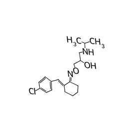 CC(C)NCC(O)CO/N=C1\CCCC\C1=C/c1ccc(Cl)cc1